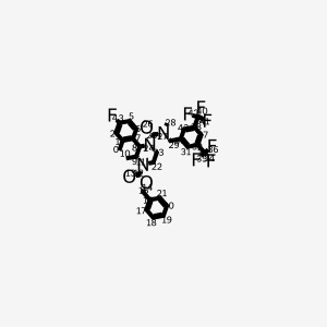 Cc1cc(F)ccc1C1C(C)N(C(=O)OCc2ccccc2)CCN1C(=O)N(C)Cc1cc(C(F)(F)F)cc(C(F)(F)F)c1